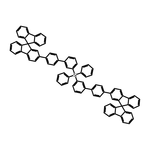 c1ccc([Si](c2ccccc2)(c2cccc(-c3ccc(-c4ccc5c(c4)C4(c6ccccc6-c6ccccc64)c4ccccc4-5)cc3)c2)c2cccc(-c3ccc(-c4ccc5c(c4)C4(c6ccccc6-c6ccccc64)c4ccccc4-5)cc3)c2)cc1